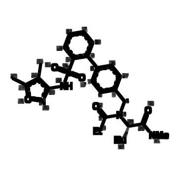 CCC(=O)N(Cc1ccc(-c2ccccc2S(=O)(=O)Nc2noc(C)c2C)cc1)[C@H](C(=O)NC)C(C)CC